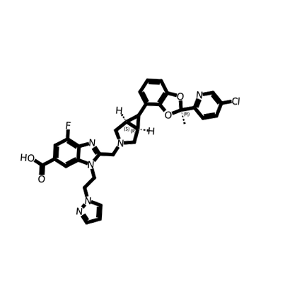 C[C@@]1(c2ccc(Cl)cn2)Oc2cccc(C3[C@H]4CN(Cc5nc6c(F)cc(C(=O)O)cc6n5CCn5cccn5)C[C@@H]34)c2O1